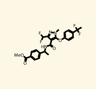 COC(=O)c1ccc(C(C)NC(=O)c2c(C(F)F)nn(C)c2Oc2ccc(C(C)(F)F)cc2)cc1